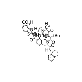 CC(C(=O)NC(C(=O)N1Cc2cc(C(=O)Nc3nc4cc(C(=O)O)ccc4s3)ccc2CC1C(=O)N[C@@H]1CCCc2ccccc21)C(C)(C)C)N(C)C(=O)OC(C)(C)C